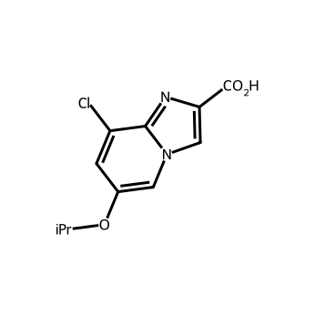 CC(C)Oc1cc(Cl)c2nc(C(=O)O)cn2c1